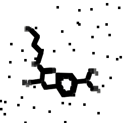 CC(C)CCCNC(=O)N(C)Cc1ccc(N(C)C)nc1